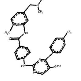 CSc1cnc(Nc2ccc(C(=O)Nc3cc(CN(C)C)ccc3C)cc2)nc1-c1ccc(C(F)(F)F)cc1